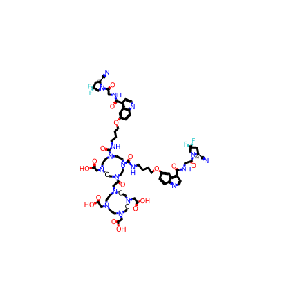 N#C[C@@H]1CC(F)(F)CN1C(=O)CNC(=O)c1ccnc2ccc(OCCCCNC(=O)N3CCN(CC(=O)O)CCN(C(=O)CN4CCN(CC(=O)O)CCN(CC(=O)O)CCN(CC(=O)O)CC4)CCN(C(=O)NCCCCOc4ccc5nccc(C(=O)NCC(=O)N6CC(F)(F)C[C@H]6C#N)c5c4)CC3)cc12